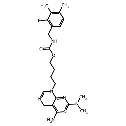 Cc1ccc(CNC(=O)OCCCCN2C=NCc3c(N)nc(N(C)C)nc32)c(F)c1C